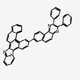 c1ccc(-c2nc3ccc4cc(-c5ccc6c(c5)c5c7ccccc7ccc5c5nc7ccccn7c65)ccc4c3nc2-c2ccccc2)cc1